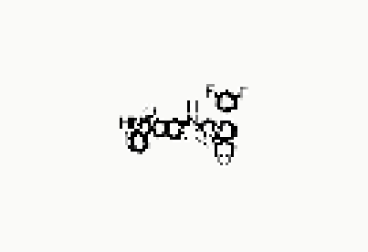 O=C(CN1C(=O)C2(CCOCC2)CC[C@H]1c1cc(F)cc(F)c1)Nc1cc2c(cn1)CC1(C2)C(=O)Nc2ncccc21